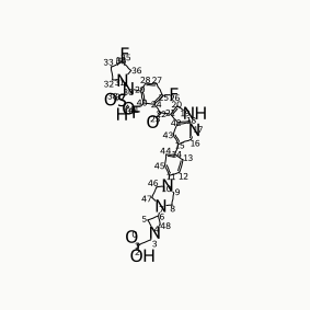 O=C(O)CN1CC(N2CCN(c3ccc(-c4cnc5[nH]cc(C(=O)c6c(F)ccc(N(N7CC[C@@H](F)C7)[SH](=O)=O)c6F)c5c4)cc3)CC2)C1